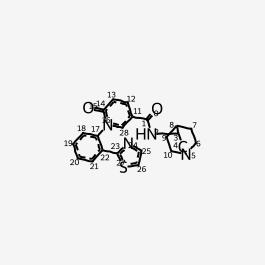 O=C(NC1CN2CCC1CC2)c1ccc(=O)n(-c2ccccc2-c2nccs2)c1